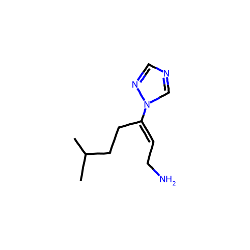 CC(C)CCC(=CCN)n1cncn1